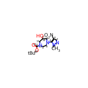 Cn1ncc([N+](=O)[O-])c1N1CCN(C(=O)OC(C)(C)C)CC(O)C1